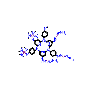 C=Nc1ccc(N2c3cc(N=P(N(C)C)(N(C)C)N(C)C)cc(n3)N(c3ccc(N=P(N(C)C)(N(C)C)N(C)C)cc3)c3cc(/N=N\P=N\N)cc(n3)N(c3ccc(/N=N/P=N/N)cc3)c3cc(/N=N/P=N/N)cc2n3)cc1